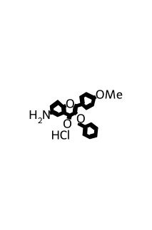 COc1ccc(-c2oc3ccc(N)cc3c(=O)c2OCc2ccccc2)cc1.Cl